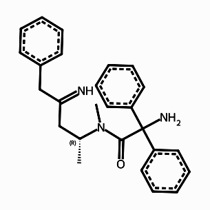 C[C@H](CC(=N)Cc1ccccc1)N(C)C(=O)C(N)(c1ccccc1)c1ccccc1